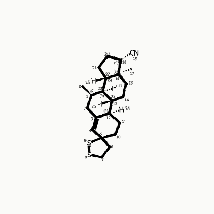 C[C@@H]1CC2=CC3(CCSS3)CC[C@@H]2[C@H]2CC[C@]3(C)[C@@H](C#N)CC[C@H]3[C@@H]21